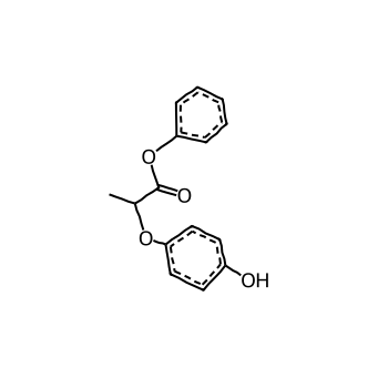 CC(Oc1ccc(O)cc1)C(=O)Oc1ccccc1